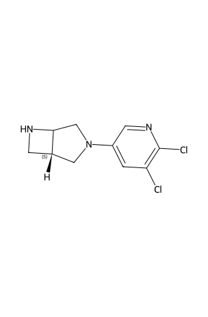 Clc1cc(N2CC3NC[C@H]3C2)cnc1Cl